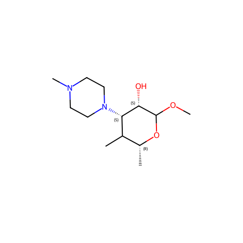 COC1O[C@H](C)C(C)[C@H](N2CCN(C)CC2)[C@@H]1O